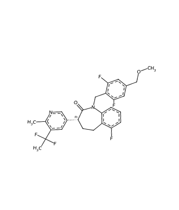 COCc1cc(F)c(CN2C(=O)[C@@H](c3cnc(C)c(C(C)(F)F)c3)CCc3c(F)cccc32)c(F)c1